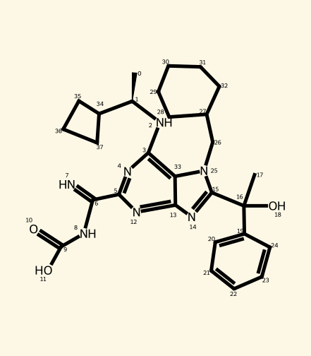 C[C@@H](Nc1nc(C(=N)NC(=O)O)nc2nc(C(C)(O)c3ccccc3)n(CC3CCCCC3)c12)C1CCC1